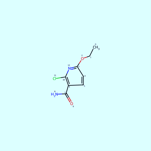 CCOc1ccc(C(N)=O)c(Cl)n1